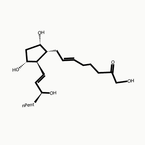 CCCCC[C@H](O)C=C[C@@H]1[C@@H](CC=CCCCC(=O)CO)[C@@H](O)C[C@H]1O